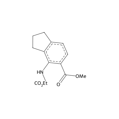 CCOC(=O)Nc1c(C(=O)OC)ccc2c1CCC2